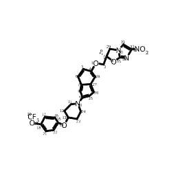 C[C@]1(COc2ccc3cc(N4CCC(Oc5ccc(OC(F)(F)F)cc5)CC4)ccc3c2)Cn2cc([N+](=O)[O-])nc2O1